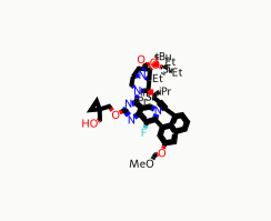 CC[Si](CC)(CC)OC1CC2CN(c3nc(OCC4(CO)CC4)nc4c(F)c(-c5cc(OCOC)cc6cccc(C#C[Si](C(C)C)(C(C)C)C(C)C)c56)ncc34)CC1N2C(=O)OC(C)(C)C